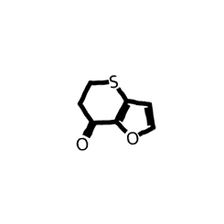 O=C1CCSc2ccoc21